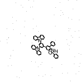 c1ccc(-c2cc(-c3cc(-n4c5ccccc5c5ccccc54)cc(-n4c5ccccc5c5ccccc54)c3)cc3c2NC(c2ccccc2)O3)cc1